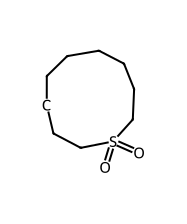 O=S1(=O)CCCCCCCCC1